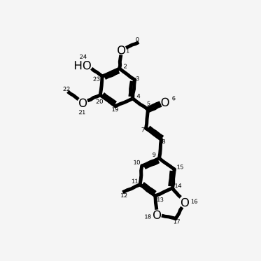 COc1cc(C(=O)/C=C/c2cc(C)c3c(c2)OCO3)cc(OC)c1O